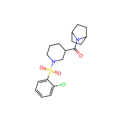 O=C(C1CCCN(S(=O)(=O)c2ccccc2Cl)C1)N1C2CCC1CC2